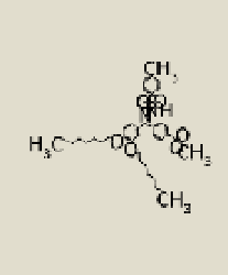 CCCCCCCCOc1ccc(C(=NNS(=O)(=O)c2ccc(C)cc2)c2ccc(C(=O)OC)cc2)cc1OCCCCCCCC